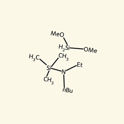 CCCCN(CC)[Si](C)(C)C.CO[SiH2]OC